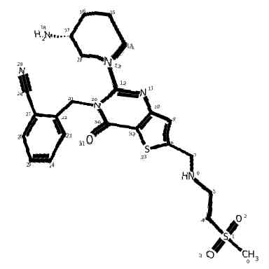 CS(=O)(=O)CCNCc1cc2nc(N3CCC[C@@H](N)C3)n(Cc3ccccc3C#N)c(=O)c2s1